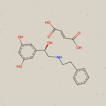 O=C(O)/C=C/C(=O)O.Oc1cc(O)cc([C@@H](O)CNCCc2ccccc2)c1